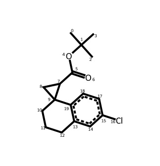 CC(C)(C)OC(=O)C1CC12CCCc1cc(Cl)ccc12